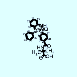 CC(C)(NC(=O)c1ccc(S(=O)(=O)Nc2ccccc2Oc2ccccc2)cc1)C(=O)O